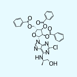 C[C@H](CO)Nc1nc(Cl)nc2c1ncn2[C@@H]1O[C@H](COC(=O)c2ccccc2)[C@@H](OC(=O)c2ccccc2)[C@H]1OC(=O)c1ccccc1